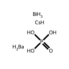 O=P(O)(O)O.[BaH2].[BiH3].[CsH]